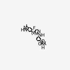 Cc1n[nH]c2cc(N(C)c3nc(Nc4cccc(S(=O)(=O)NC(C)C)c4)ncc3F)ccc12